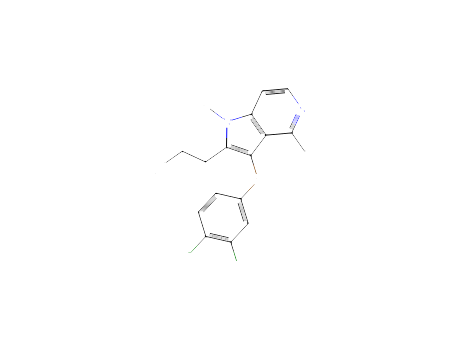 CCCn1c(CCC(=O)O)c(Sc2ccc(Cl)c(Cl)c2)c2c(C(C)C)nccc21